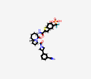 N#Cc1cccc(C2CN(C(=O)[C@@H]3CC[C@@H]4CCC[C@H](NC(=O)c5cc6cc(C(F)(F)P(=O)(O)O)ccc6s5)C(=O)N43)C2)c1